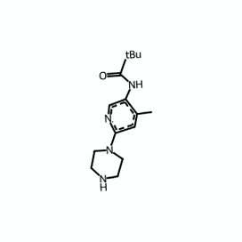 Cc1cc(N2CCNCC2)ncc1NC(=O)C(C)(C)C